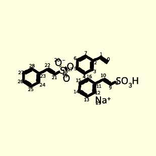 C=Cc1ccccc1.O=S(=O)(O)C=Cc1ccccc1.O=S(=O)([O-])C=Cc1ccccc1.[Na+]